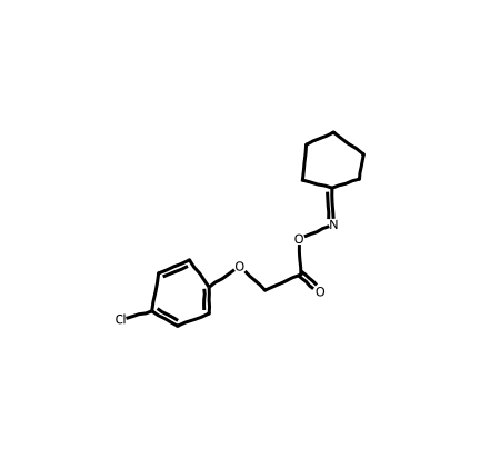 O=C(COc1ccc(Cl)cc1)ON=C1CCCCC1